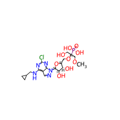 COC[C@](CO)(OC[C@@H]1O[C@H](n2ncc3c(NCC4CC4)nc(Cl)nc32)[C@@H](O)[C@H]1O)P(=O)(O)O